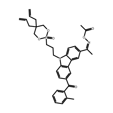 C=CCC1(CC=C)COP(=O)(CCCn2c3ccc(C(=O)c4ccccc4C)cc3c3cc(/C(C)=N\OC(C)=O)ccc32)OC1